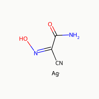 N#C/C(=N/O)C(N)=O.[Ag]